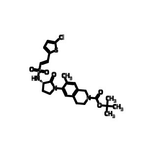 Cc1cc2c(cc1N1CC[C@H](NS(=O)(=O)C=Cc3ccc(Cl)s3)C1=O)CCN(C(=O)OC(C)(C)C)C2